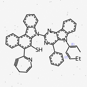 C/C=C(\C=C/CC)n1c2ccccc2c2nc(-n3c4ccccc4c4c5ccccc5c(C5=NC=CCC#C5)c(S)c43)nc(-c3ccccc3)c21